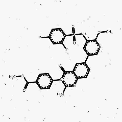 COC(=O)c1ccc(-n2c(N)nc3ccc(-c4cnc(OC)c(NS(=O)(=O)c5ccc(F)cc5F)c4)cc3c2=O)cc1